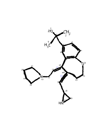 CC(C)(O)c1ccc2c(c1)C(=C/CN1CCCC1)/C(=C/C1CN1)CCO2